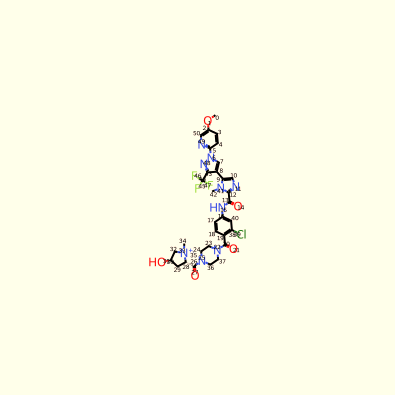 COc1ccc(-n2cc(-c3cnc(C(=O)Nc4ccc(C(=O)N5CCN(C(=O)[C@@H]6C[C@@H](O)C[N+]6(C)C)CC5)c(Cl)c4)n3C)c(C(F)(F)F)n2)nc1